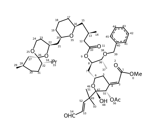 COC(=O)/C=C1\C[C@@H](C[C@@H](OC(=O)C[C@H](C)C[C@@H]2CCC[C@H](C[C@@H]3CCO[C@@]4(C[C@H](C)CC[C@H]4C(C)C)O3)O2)[C@@H](C)OCc2ccccc2)O[C@@](O)(C(C)(C)/C=C/C=O)[C@H]1OC(C)=O